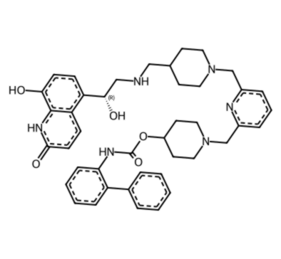 O=C(Nc1ccccc1-c1ccccc1)OC1CCN(Cc2cccc(CN3CCC(CNC[C@H](O)c4ccc(O)c5[nH]c(=O)ccc45)CC3)n2)CC1